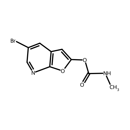 CNC(=O)Oc1cc2cc(Br)cnc2o1